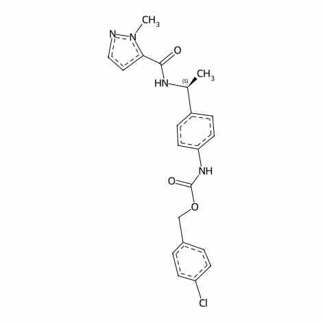 C[C@H](NC(=O)c1ccnn1C)c1ccc(NC(=O)OCc2ccc(Cl)cc2)cc1